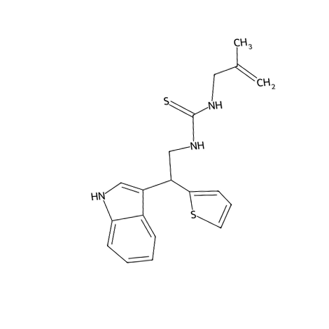 C=C(C)CNC(=S)NCC(c1cccs1)c1c[nH]c2ccccc12